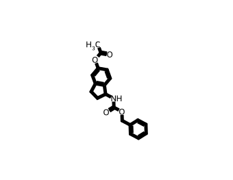 CC(=O)Oc1ccc2c(c1)CCC2NC(=O)OCc1ccccc1